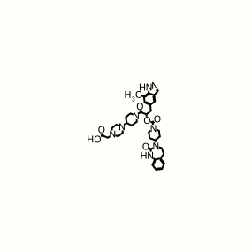 Cc1cc(CC(OC(=O)N2CCC(N3CCc4ccccc4NC3=O)CC2)C(=O)N2CCC(N3CCN(CC(=O)O)CC3)CC2)cc2cn[nH]c12